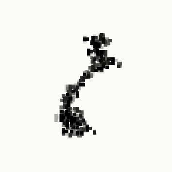 CC(=O)Nc1cc(NCCOCCOCCNC(=O)CN2CCN(c3ccc(Nc4ncc5c(C)c(C(C)=O)c(=O)n(C6CCCC6)c5n4)nc3)CC2)ccc1C(=O)Nc1nc(C)c([N+](=O)[O-])s1